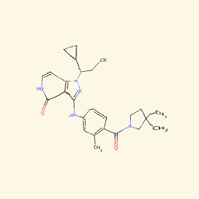 Cc1cc(Nc2nn(C(CC#N)C3CC3)c3cc[nH]c(=O)c23)ccc1C(=O)N1CCC(C)(C)C1